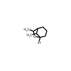 CCC12CCCC(C(C)O1)C2C